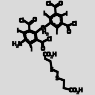 Nc1c(I)c(C(=O)Cl)c(I)c(C(=O)Cl)c1I.Nc1c(I)c(C(=O)Cl)c(I)c(C(=O)Cl)c1I.O=C(O)CCSCSCCC(=O)O